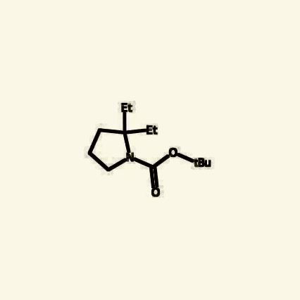 CCC1(CC)CCCN1C(=O)OC(C)(C)C